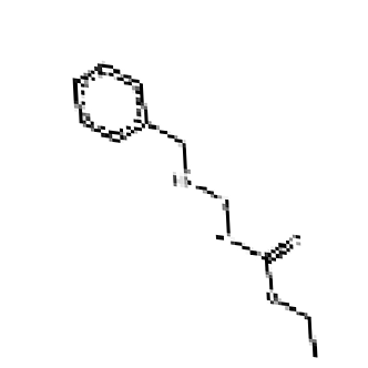 CCOC(=O)NSNCc1ccccc1